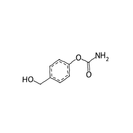 NC(=O)Oc1ccc(CO)cc1